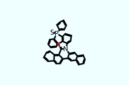 S=P(c1ccccc1)(c1ccccc1)c1cccc2c1nc1c3c4ccccc4ccc3c3cc4ccccc4cc3n21